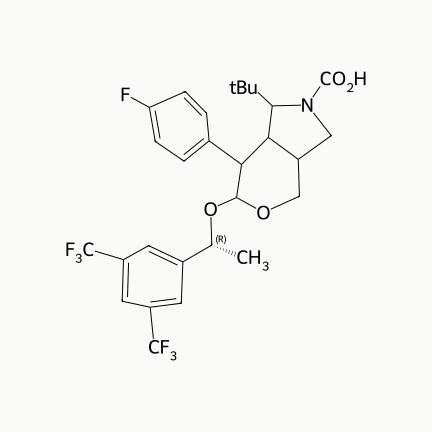 C[C@@H](OC1OCC2CN(C(=O)O)C(C(C)(C)C)C2C1c1ccc(F)cc1)c1cc(C(F)(F)F)cc(C(F)(F)F)c1